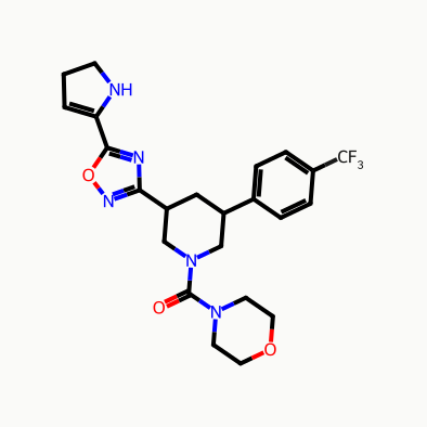 O=C(N1CCOCC1)N1CC(c2ccc(C(F)(F)F)cc2)CC(c2noc(C3=CCCN3)n2)C1